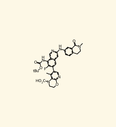 Cc1c(-c2cc3cc(Nc4ccc5c(c4)C(=O)N(C)CC5)ncc3c(NC(=O)OC(C)(C)C)c2F)cnc2c1N(C(=O)O)CCO2